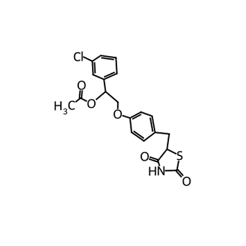 CC(=O)OC(COc1ccc(CC2SC(=O)NC2=O)cc1)c1cccc(Cl)c1